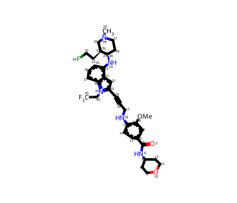 COc1cc(C(=O)NC2CCOCC2)ccc1NCC#Cc1cc2c(N[C@@H]3CCN(C)C[C@@H]3CCF)cccc2n1CC(F)(F)F